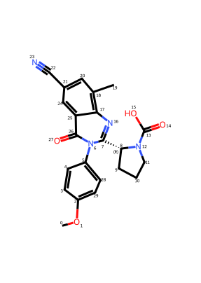 COc1ccc(-n2c([C@H]3CCCN3C(=O)O)nc3c(C)cc(C#N)cc3c2=O)cc1